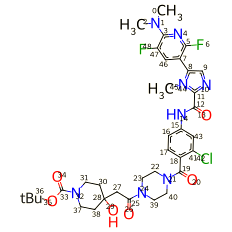 CN(C)c1nc(F)c(-c2cnc(C(=O)Nc3ccc(C(=O)N4CCN(C(=O)CC5(O)CCN(C(=O)OC(C)(C)C)CC5)CC4)c(Cl)c3)n2C)cc1F